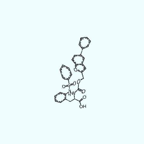 O=C(NC(Cc1ccccc1NS(=O)(=O)c1ccccc1)C(=O)O)OCc1cc2cc(-c3ccccc3)ccc2o1